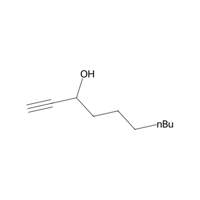 C#CC(O)CCCCCCC